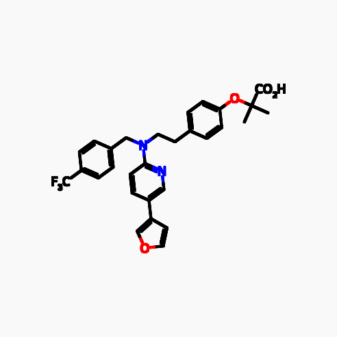 CC(C)(Oc1ccc(CCN(Cc2ccc(C(F)(F)F)cc2)c2ccc(-c3ccoc3)cn2)cc1)C(=O)O